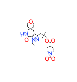 CCn1nc(CC(C)(C)COC(=O)C2CCN(C(=O)OC)CC2)c2c1C(=O)NCC1(CCOCC1)C2